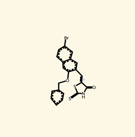 O=C1NC(=S)S/C1=C\c1cc2cc(Br)ccc2cc1OCc1ccccc1